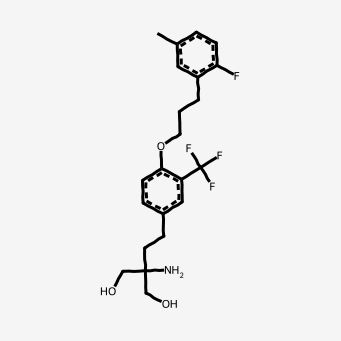 Cc1ccc(F)c(CCCOc2ccc(CCC(N)(CO)CO)cc2C(F)(F)F)c1